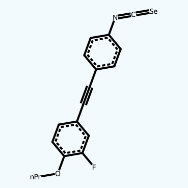 CCCOc1ccc(C#Cc2ccc(N=C=[Se])cc2)cc1F